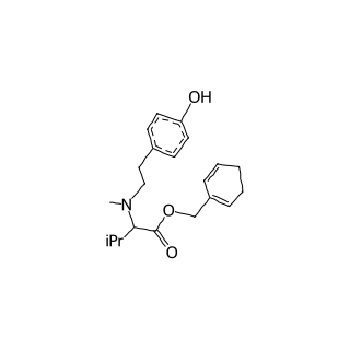 CC(C)C(C(=O)OCC1=CCCC=C1)N(C)CCc1ccc(O)cc1